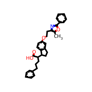 Cc1oc(-c2ccccc2)nc1CCOc1ccc2c(c1)CCC2C(CCCc1ccccc1)C(=O)O